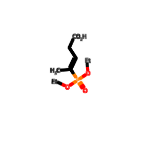 CCOP(=O)(OCC)C(C)=CCC(=O)O